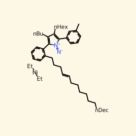 CCCCCCCCCCCCCCCCC=CCCCc1ccccc1C1=C(CCCC)C(CCCCCC)=C(c2cccc(C)c2)[N+]1=[N-].C[CH2][Ni][CH2]C